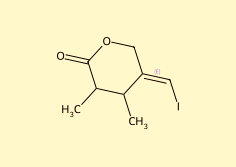 CC1C(=O)OC/C(=C/I)C1C